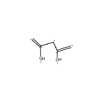 C=C(O)CC(=C)O